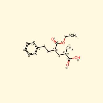 CCOC(=O)[C@H](CCc1ccccc1)C[C@@H](C)C(=O)O